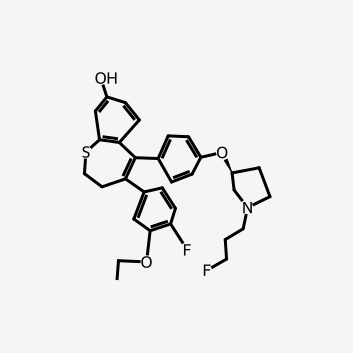 CCOc1cc(C2=C(c3ccc(O[C@H]4CCN(CCCF)C4)cc3)c3ccc(O)cc3SCC2)ccc1F